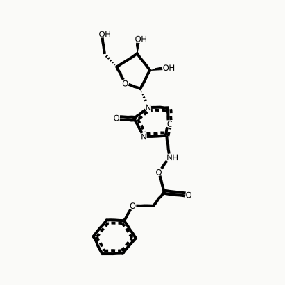 O=C(COc1ccccc1)ONc1ccn([C@@H]2O[C@H](CO)[C@@H](O)[C@H]2O)c(=O)n1